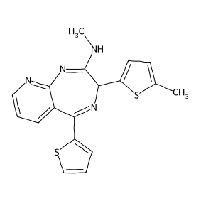 CNC1=Nc2ncccc2C(c2cccs2)=NC1c1ccc(C)s1